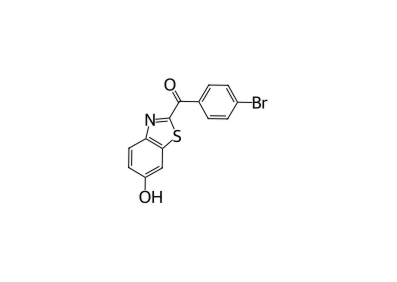 O=C(c1ccc(Br)cc1)c1nc2ccc(O)cc2s1